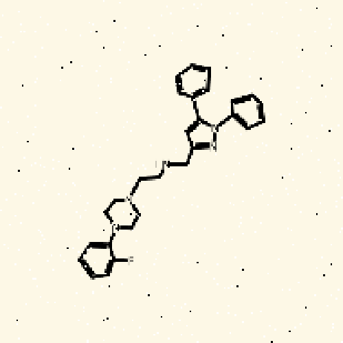 Fc1ccccc1N1CCN(CCNCc2cc(-c3ccccc3)n(-c3ccccc3)n2)CC1